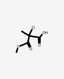 COC(=O)C(C)(Cl)C(=O)O